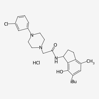 CCC(C)c1cc(C)c2c(c1O)C(NC(=O)CN1CCN(c3cccc(Cl)c3)CC1)CC2.Cl